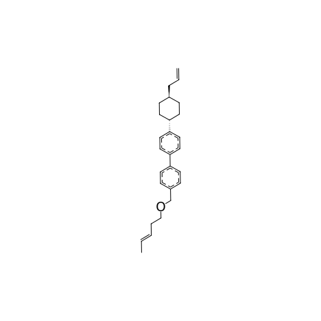 C=CC[C@H]1CC[C@H](c2ccc(-c3ccc(COCC/C=C/C)cc3)cc2)CC1